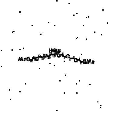 COCCOCCOCCOP(O)(=S)SCCOCCOCCOC